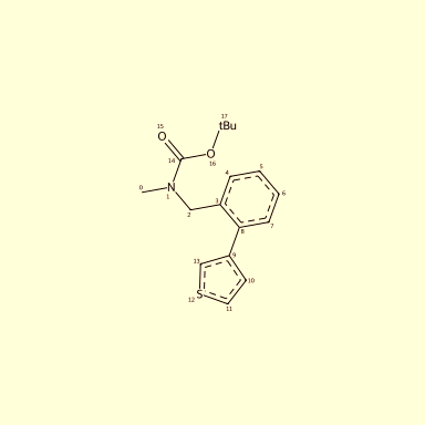 CN(Cc1ccccc1-c1ccsc1)C(=O)OC(C)(C)C